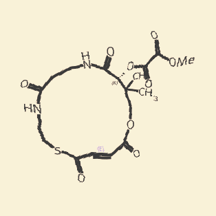 COC(=O)C(=O)O[C@H]1C(=O)NCCC(=O)NCCSC(=O)/C=C/C(=O)OCC1(C)C